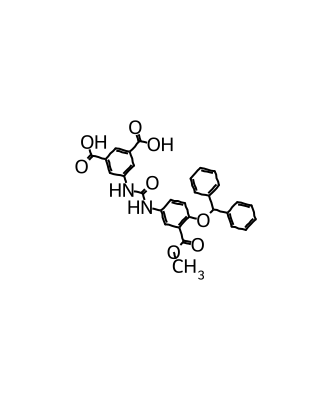 COC(=O)c1cc(NC(=O)Nc2cc(C(=O)O)cc(C(=O)O)c2)ccc1OC(c1ccccc1)c1ccccc1